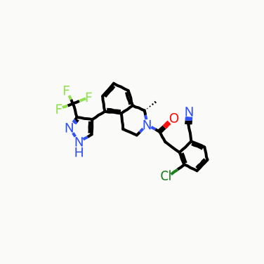 C[C@H]1c2cccc(-c3c[nH]nc3C(F)(F)F)c2CCN1C(=O)Cc1c(Cl)cccc1C#N